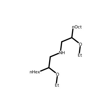 CCCCCCCCC(CNCC(CCCCCC)OCC)OCC